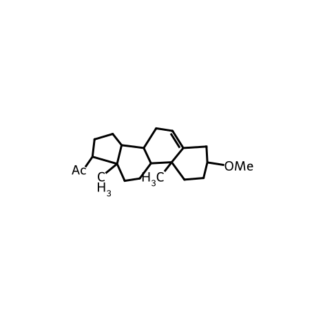 COC1CCC2(C)C(=CCC3C2CCC2(C)C(C(C)=O)CCC32)C1